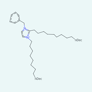 CCCCCCCCCCCCCCCCCCCc1n(Cc2ccccc2)cc[n+]1CCCCCCCCCCCCCCCCCC